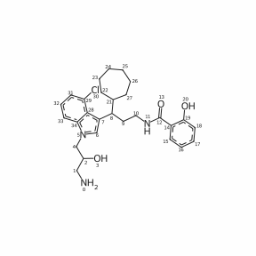 NCC(O)Cn1cc(C(CCNC(=O)c2ccccc2O)C2CCCCCC2)c2c(Cl)cccc21